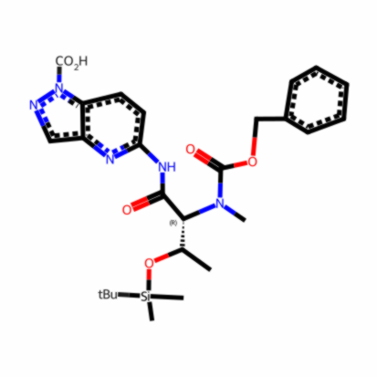 CC(O[Si](C)(C)C(C)(C)C)[C@H](C(=O)Nc1ccc2c(cnn2C(=O)O)n1)N(C)C(=O)OCc1ccccc1